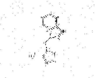 Cc1nccn1Cc1c[nH]c2ccccc12